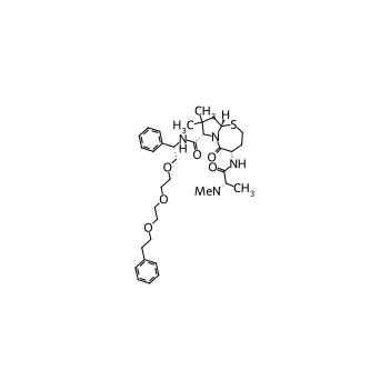 CN[C@@H](C)C(=O)N[C@H]1CCS[C@H]2CC(C)(C)[C@@H](C(=O)N[C@H](COCCOCCOCCc3ccccc3)c3ccccc3)N2C1=O